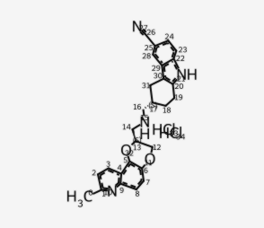 Cc1ccc2c3c(ccc2n1)OC[C@H](CNC[C@H]1CCc2[nH]c4ccc(C#N)cc4c2C1)O3.Cl.Cl